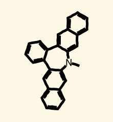 CN1c2cc3ccccc3cc2-c2ccccc2-c2cc3ccccc3cc21